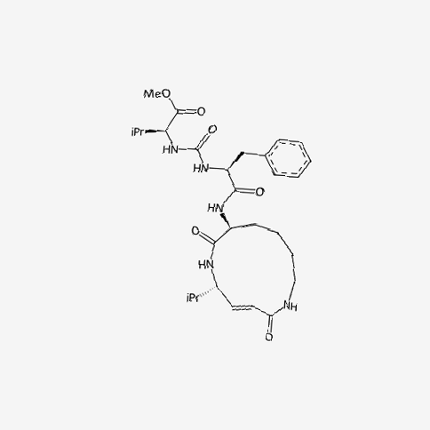 COC(=O)[C@@H](NC(=O)N[C@@H](Cc1ccccc1)C(=O)N[C@H]1CCCCNC(=O)/C=C/[C@H](C(C)C)NC1=O)C(C)C